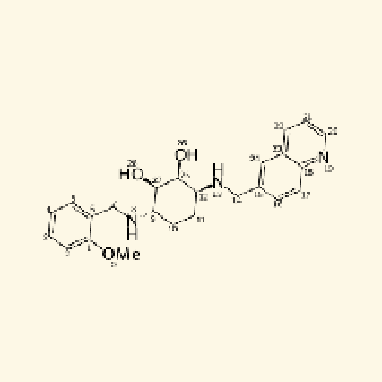 COc1ccccc1CN[C@H]1CC[C@H](NCc2ccc3ncccc3c2)[C@H](O)[C@@H]1O